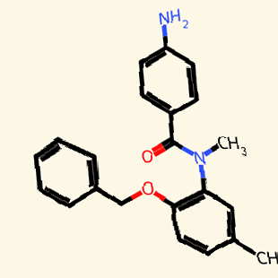 Cc1ccc(OCc2ccccc2)c(N(C)C(=O)c2ccc(N)cc2)c1